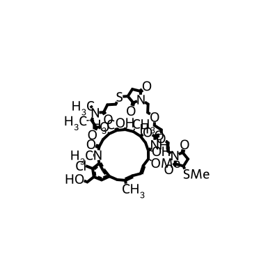 CO[C@@H]1/C=C/C=C(\C)Cc2cc(CO)c(Cl)c(c2)N(C)C(=O)C[C@H](OC(=O)[C@H](C)N(C)C(=O)CCSC2CC(=O)N(CCOCCOCCN3C(=O)CC(SC)C3=O)C2=O)[C@]2(C)O[C@H]2[C@H](C)[C@@H]2C[C@@]1(O)NC(=O)O2